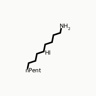 CCCCCCCCCCCCCN.I